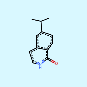 CC(C)c1ccc2c(=O)[nH]ccc2c1